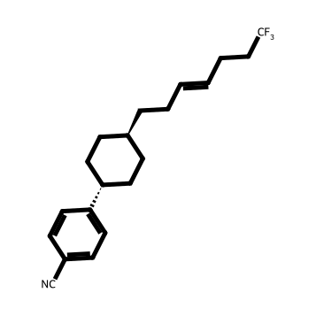 N#Cc1ccc([C@H]2CC[C@H](CC/C=C/CCC(F)(F)F)CC2)cc1